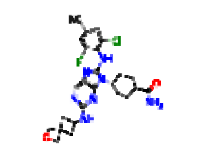 N#Cc1cc(F)c(Nc2nc3cnc(NC4CC5(COC5)C4)nc3n2[C@H]2CC[C@H](C(N)=O)CC2)c(Cl)c1